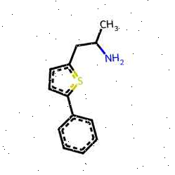 CC(N)Cc1ccc(-c2ccccc2)s1